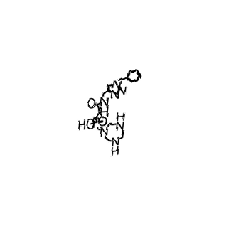 O=C(CCP(=O)(O)CN1CCNCCNCC1)NCc1cn(Cc2ccccc2)nn1